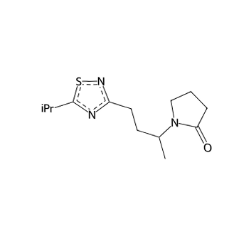 CC(C)c1nc(CCC(C)N2CCCC2=O)ns1